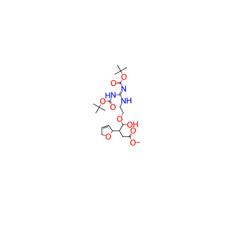 COC(=O)CC(C(O)OCCN/C(=N/C(=O)OC(C)(C)C)NC(=O)OC(C)(C)C)C1C=CCO1